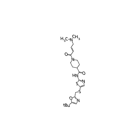 CN(C)CC=CC(=O)N1CCC(C(=O)Nc2ncc(SCc3ncc(C(C)(C)C)o3)s2)CC1